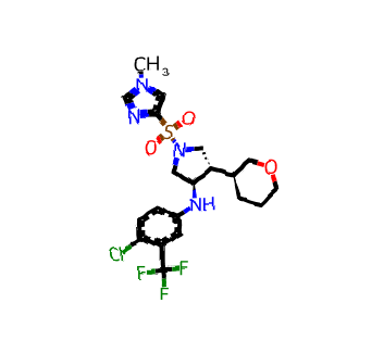 Cn1cnc(S(=O)(=O)N2C[C@H]([C@@H]3CCCOC3)[C@@H](Nc3ccc(Cl)c(C(F)(F)F)c3)C2)c1